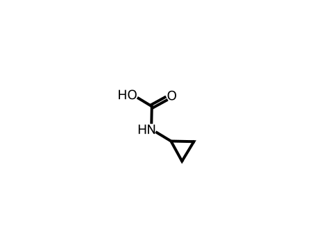 O=C(O)NC1CC1